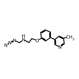 Cc1cncc(-c2cccc(OCCNCN=[N+]=[N-])c2)c1